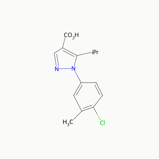 Cc1cc(-n2ncc(C(=O)O)c2C(C)C)ccc1Cl